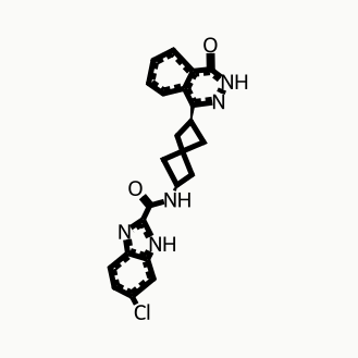 O=C(N[C@H]1CC2(C1)C[C@H](c1n[nH]c(=O)c3ccccc31)C2)c1nc2ccc(Cl)cc2[nH]1